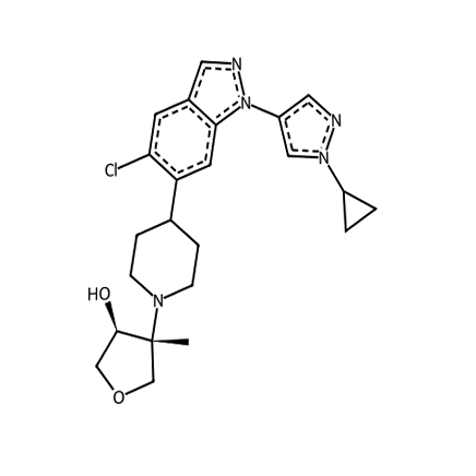 C[C@@]1(N2CCC(c3cc4c(cnn4-c4cnn(C5CC5)c4)cc3Cl)CC2)COC[C@H]1O